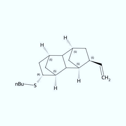 C=C[C@@H]1C[C@H]2C[C@@H]1C1C2[C@@H]2C[C@@H](SCCCC)[C@H]1C2